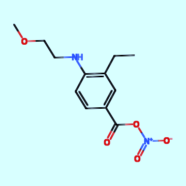 CCc1cc(C(=O)O[N+](=O)[O-])ccc1NCCOC